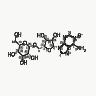 Nc1c2ncn([C@@H]3O[C@H](CO[C@H]4O[C@H](CO)[C@@H](O)[C@H](O)[C@H]4O)[C@@H](O)[C@H]3O)c2nc[n+]1[O-]